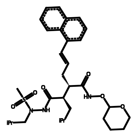 CC(C)C[C@@H](C(=O)NN(CC(C)C)S(C)(=O)=O)[C@H](CC=Cc1cccc2ccccc12)C(=O)NOC1CCCCO1